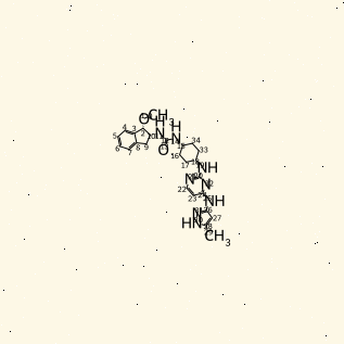 CO[C@H]1c2ccccc2C[C@H]1NC(=O)N[C@H]1CC[C@H](Nc2nccc(Nc3cc(C)[nH]n3)n2)CC1